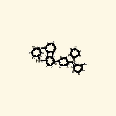 Cc1cccc2c1-c1c(Nc3ccccc3)ccc(-c3ccc([N+]4(c5ccccc5)c5cccc(C)c54)cc3)c1-2